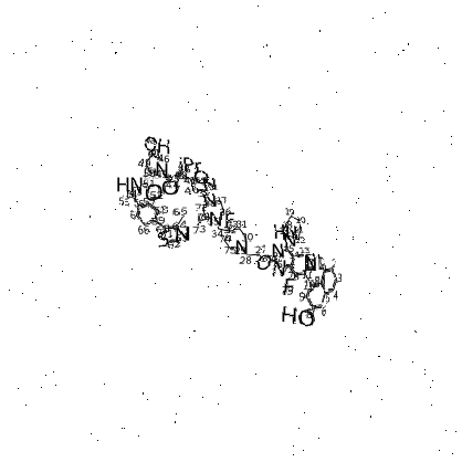 CCc1cccc2cc(O)cc(-c3ncc4c(N5CC6CCC(C5)N6)nc(OCCN5CCC(F)(CN6CCN(c7cc([C@@H](C(=O)N8C[C@H](O)C[C@H]8C(=O)N[C@@H](C)c8ccc(-c9scnc9C)cc8)C(C)C)on7)C[C@@H]6C)CC5)nc4c3F)c12